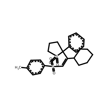 Cc1ccc(S(=O)(=O)C=C(C2CCCCC2)C2(c3ccccc3)CCCS2(=O)=O)cc1